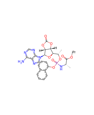 CC(C)OC(=O)[C@H](C)NP(=O)(Oc1cccc2ccccc12)O[C@@H](C)[C@H]1O[C@@H](n2cnc3c(N)ncnc32)[C@@H]2OC(=O)O[C@@H]21